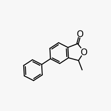 CC1OC(=O)c2ccc(-c3ccccc3)cc21